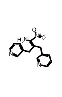 NC(=C(Cc1cccnc1)Cc1cccnc1)[N+](=O)[O-]